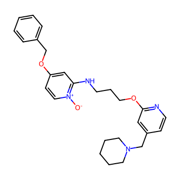 [O-][n+]1ccc(OCc2ccccc2)cc1NCCCOc1cc(CN2CCCCC2)ccn1